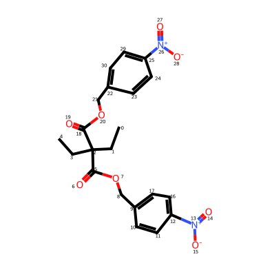 CCC(CC)(C(=O)OCc1ccc([N+](=O)[O-])cc1)C(=O)OCc1ccc([N+](=O)[O-])cc1